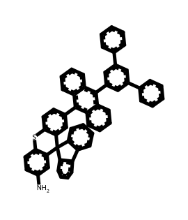 Nc1ccc2c(c1)C1(c3cc(-c4c5ccccc5c(-c5cc(-c6ccccc6)cc(-c6ccccc6)c5)c5ccccc45)ccc3S2)c2ccccc2-c2ccccc21